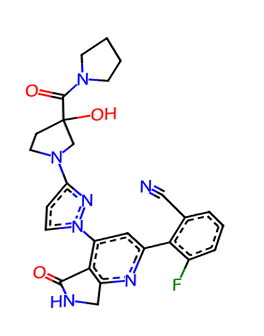 N#Cc1cccc(F)c1-c1cc(-n2ccc(N3CCC(O)(C(=O)N4CCCC4)C3)n2)c2c(n1)CNC2=O